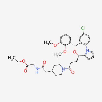 CCOC(=O)CNC(=O)CC1CCN(C(=O)CC[C@H]2O[C@H](c3cccc(OC)c3OC)c3cc(Cl)ccc3-n3cccc32)CC1